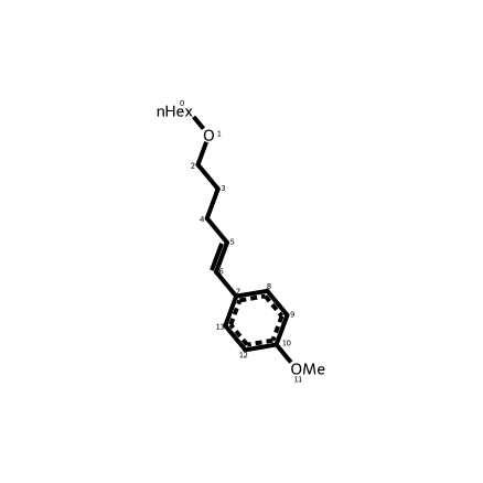 CCCCCCOCCC/C=C/c1ccc(OC)cc1